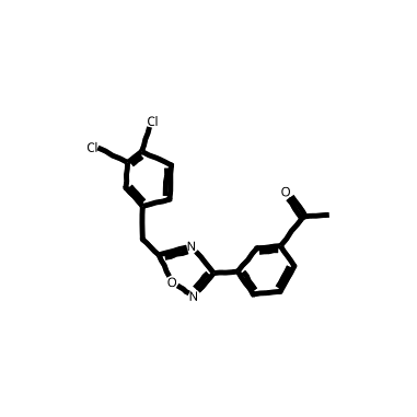 CC(=O)c1cccc(-c2noc(Cc3ccc(Cl)c(Cl)c3)n2)c1